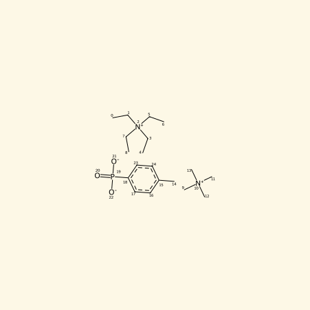 CC[N+](CC)(CC)CC.C[N+](C)(C)C.Cc1ccc(P(=O)([O-])[O-])cc1